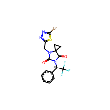 O=C1N([C@H](c2ccccc2)C(F)(F)F)C(=O)C2(CC2)N1Cc1nnc(Br)s1